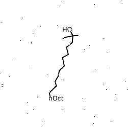 CCCCCCCCCCCCCCCCCCC(C)(C)O